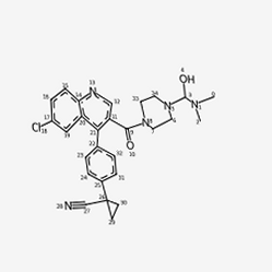 CN(C)C(O)N1CCN(C(=O)c2cnc3ccc(Cl)cc3c2-c2ccc(C3(C#N)CC3)cc2)CC1